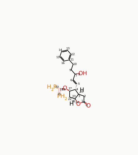 O=C1C[C@@H]2[C@@H](/C=C/C(O)CCc3ccccc3)[C@H](OB(P)P)C[C@@H]2O1